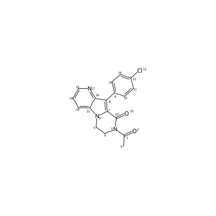 CC(=O)N1CCn2c(c(-c3ccc(Cl)cc3)c3ncccc32)C1=O